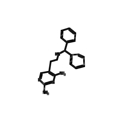 Nc1ncc(CCNC(c2ccccc2)c2ccccc2)c(N)n1